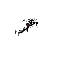 C=C(C)C(=O)OCCNC(=O)CCOc1ccc(C2(c3ccccc3)C=Cc3c4c(c5cc(OC)c(OC)cc5c3O2)-c2ccc(-c3ccccc3)cc2C4(C)C)cc1